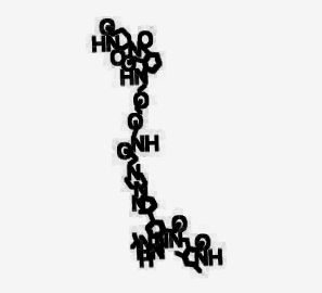 Cc1cc(C)c(CNC(=O)c2cc(-c3ccc(N4CCN(CCC(=O)NCCOCCOCCNc5cccc6c5C(=O)N(C5CCC(=O)NC5=O)C6=O)CC4)nc3)cc(NC(C)C)c2C=N)c(=O)[nH]1